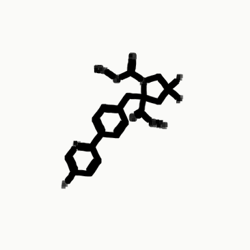 COC(=O)C1(Cc2ccc(-c3ccc(F)cn3)cc2)CC(F)(F)CN1C(=O)OC(C)(C)C